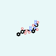 O=C1CCC(N2Cc3c(NC(=O)COC=C4C(=O)CC(c5ccccc5)CC4=O)cccc3C2=O)C(=O)N1